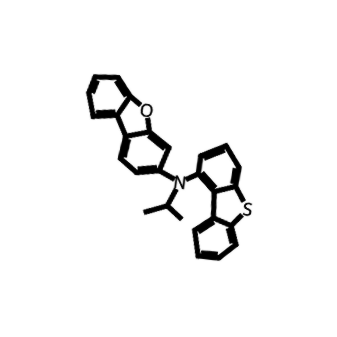 CC(C)N(c1ccc2c(c1)oc1ccccc12)c1cccc2sc3ccccc3c12